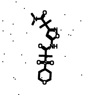 CN(C)C(=O)C(C)(C)c1cc(NC(=O)C(C)(C)S(=O)(=O)C2CCOCC2)on1